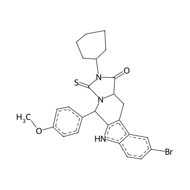 COc1ccc(C2c3[nH]c4ccc(Br)cc4c3CC3C(=O)N(C4CCCCC4)C(=S)N32)cc1